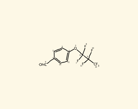 O=[C]c1ccc(OC(F)(F)C(F)(F)C(F)(F)F)cc1